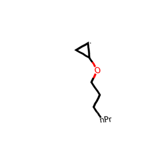 [CH2]CCCCCOC1[CH]C1